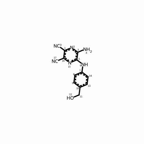 N#Cc1nc(N)c(Nc2ccc(CO)cc2)nc1C#N